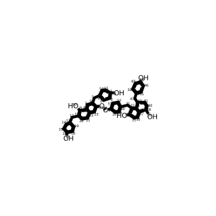 Oc1ccc(Cc2cc3c(O)c(Cc4ccc(O)cc4)ccc3cc2OOc2ccc(Cc3c(O)ccc4c(O)ccc(Cc5ccc(O)cc5)c34)cc2)cc1